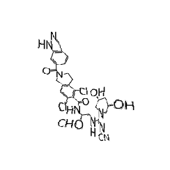 N#C/N=C(\NC[C@@H](C=O)NC(=O)c1c(Cl)cc2c(c1Cl)CCN(C(=O)c1ccc3cn[nH]c3c1)C2)N1C[C@H](O)C[C@H](O)C1